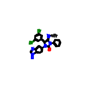 CCCN=C1C(c2cc(Br)cc(Br)c2)N(c2ccc3[nH]cnc3c2)C(=O)N1c1ccccc1